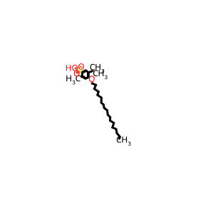 CCCCCCCCCCCCCCCCCCCOc1cc(C)c(S(=O)(=O)O)cc1C(C)C